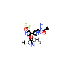 CC(C)(C#N)COc1cnc(OC(F)F)cc1-c1ccn2nc(NC(=O)C3CC3)cc2c1